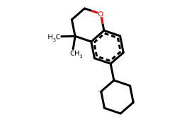 CC1(C)CCOc2ccc(C3[CH]CCCC3)cc21